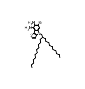 CCCCCCCCCCCCC(CCCCCCCCCC)Cn1c2ccsc2c2c(N)c(N)c(Br)cc21